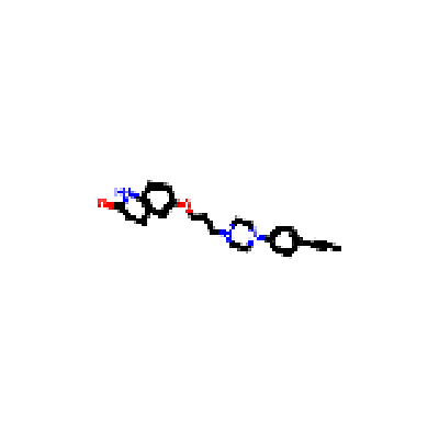 CC#Cc1ccc(N2CCN(CCCOc3ccc4c(c3)CCC(=O)N4)CC2)cc1